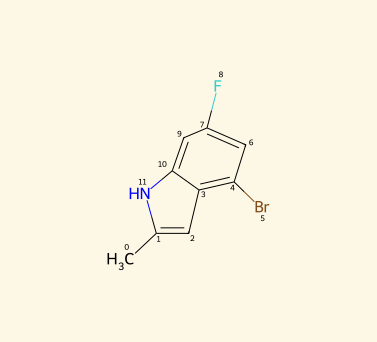 Cc1cc2c(Br)cc(F)cc2[nH]1